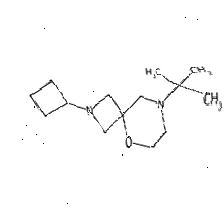 CC(C)(C)N1CCOC2(CN(C3CCC3)C2)C1